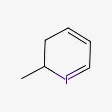 CC1CC=CC=I1